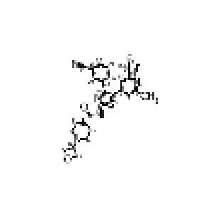 Cc1cc(-c2sc(NC(=O)N3CCN(C4COC4)CC3)nc2-c2cccc(C#N)c2)cc(C(F)(F)F)n1